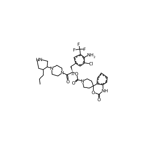 CCCC1CCNCC1N1CCN(C(=O)[C@@H](Cc2cc(Cl)c(N)c(C(F)(F)F)c2)OC(=O)N2CCC3(CC2)OC(=O)Nc2ccccc23)CC1